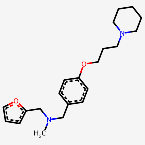 CN(Cc1ccc(OCCCN2CCCCC2)cc1)Cc1ccco1